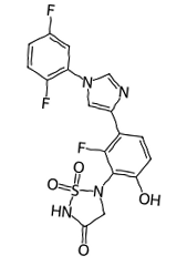 O=C1CN(c2c(O)ccc(-c3cn(-c4cc(F)ccc4F)cn3)c2F)S(=O)(=O)N1